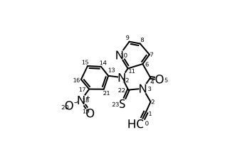 C#CCn1c(=O)c2cccnc2n(-c2cccc([N+](=O)[O-])c2)c1=S